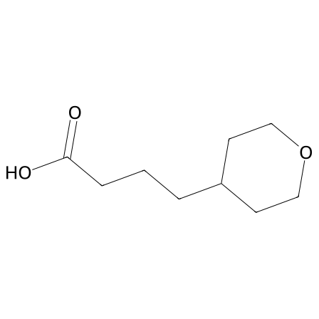 O=C(O)CCCC1CCOCC1